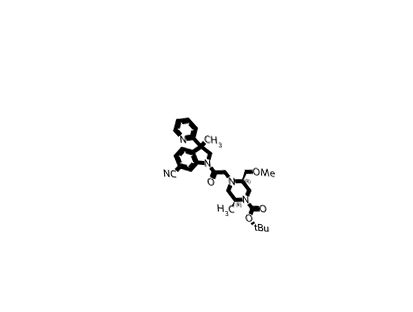 COC[C@H]1CN(C(=O)OC(C)(C)C)[C@H](C)CN1CC(=O)N1CC(C)(c2ccccn2)c2ccc(C#N)cc21